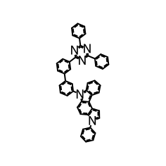 c1ccc(-c2nc(-c3ccccc3)nc(-c3cccc(-c4cccc(-n5c6ccccc6c6c7ccn(-c8ccccc8)c7ccc65)c4)c3)n2)cc1